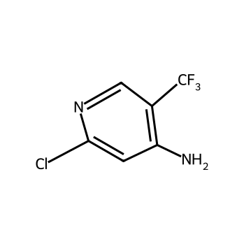 Nc1cc(Cl)ncc1C(F)(F)F